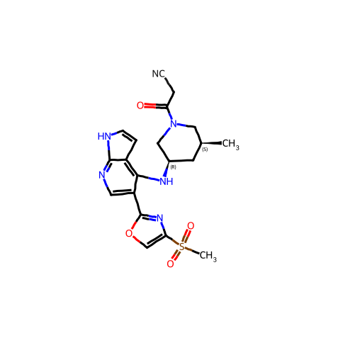 C[C@H]1C[C@@H](Nc2c(-c3nc(S(C)(=O)=O)co3)cnc3[nH]ccc23)CN(C(=O)CC#N)C1